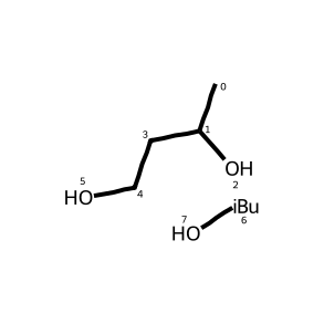 CC(O)CCO.CCC(C)O